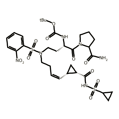 CC(C)(C)OC(=O)N[C@@H](CCN(CC/C=C\[C@@H]1C[C@@H]1C(=O)NS(=O)(=O)C1CC1)S(=O)(=O)c1ccccc1[N+](=O)[O-])C(=O)N1CCCC1C(N)=O